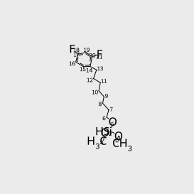 CO[SiH](OC)OCCCCCCCCc1ccc(F)cc1F